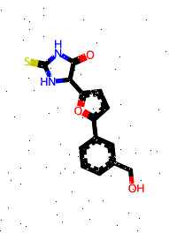 O=C1NC(=S)NC1c1ccc(-c2cccc(CO)c2)o1